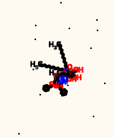 CCCCCCCCCCCCN(C(=O)CCCCCCCCCCC)[C@@H]1O[C@H](CO)[C@@H](O)[C@H](O)[C@H]1NC(=O)[C@@H](C)NC(=O)[C@H](CC(=O)OCc1ccccc1)NC(=O)OCc1ccccc1